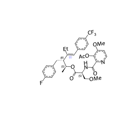 CC/C(=C\c1ccc(C(F)(F)F)cc1)[C@@H](Cc1ccc(F)cc1)[C@H](C)OC(=O)[C@H](COC)NC(=O)c1nccc(OC)c1OC(C)=O